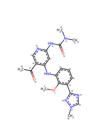 COc1c(Nc2cc(NC(=O)N(C)C)ncc2C(C)=O)cccc1-c1ncn(C)n1